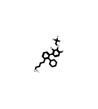 CCCCCc1cccc(-c2ccc(F)c(OCC(F)(F)F)c2F)c1C1CCCCC1